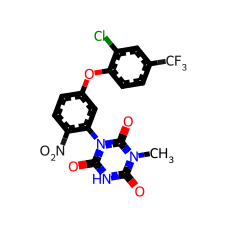 Cn1c(=O)[nH]c(=O)n(-c2cc(Oc3ccc(C(F)(F)F)cc3Cl)ccc2[N+](=O)[O-])c1=O